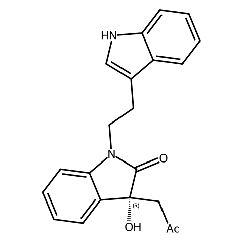 CC(=O)C[C@]1(O)C(=O)N(CCc2c[nH]c3ccccc23)c2ccccc21